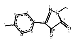 Cc1ccc(C2=NN(C)C(=O)C2=O)cc1